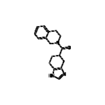 O=C(C1CCc2[nH]cnc2C1)N1CCc2ccccc2C1